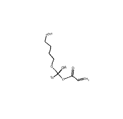 C=CC(=O)OC(O)(CC)OCCCCCCCCCCCC